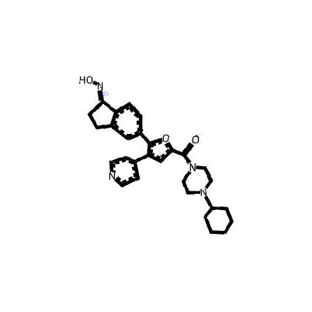 O=C(c1cc(-c2ccncc2)c(-c2ccc3c(c2)CC/C3=N\O)o1)N1CCN(C2CCCCC2)CC1